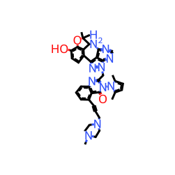 Cc1ccc(C)n1-n1c(Cn2nc(-c3ccc(O)c4c3CC(C)(C)O4)c3c(N)ncnc32)nc2cccc(C#CCN3CCN(C)CC3)c2c1=O